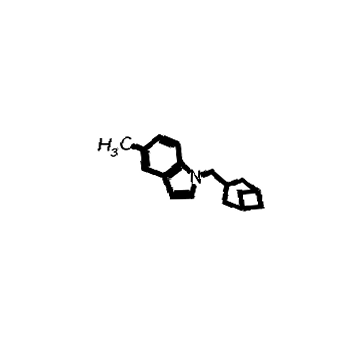 Cc1ccc2c(ccn2CC2CC3CC(C3)C2)c1